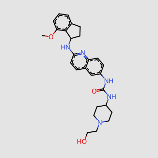 COc1cccc2c1C(Nc1ccc3cc(NC(=O)NC4CCN(CCO)CC4)ccc3n1)CC2